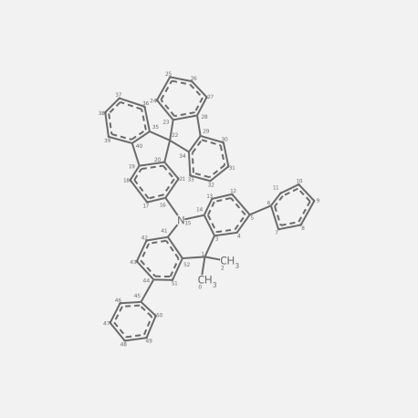 CC1(C)c2cc(-c3ccccc3)ccc2N(c2ccc3c(c2)C2(c4ccccc4-c4ccccc42)c2ccccc2-3)c2ccc(-c3ccccc3)cc21